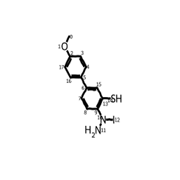 COc1ccc(-c2ccc(N(N)I)c(S)c2)cc1